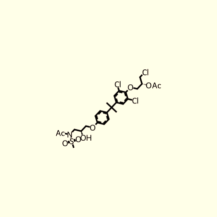 CC(=O)O[C@@H](CCl)COc1c(Cl)cc(C(C)(C)c2ccc(OC[C@@H](O)CN(C(C)=O)S(C)(=O)=O)cc2)cc1Cl